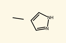 CC.c1cn[nH]c1